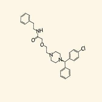 O=C(COCCN1CCN([C@H](c2ccccc2)c2ccc(Cl)cc2)CC1)NCCc1ccccc1